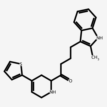 Cc1[nH]c2ccccc2c1CCCC(=O)C1CC(c2cccs2)=CCN1